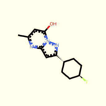 Cc1cc(O)n2nc([C@H]3CC[C@H](F)CC3)cc2n1